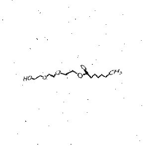 CCCCCCC(=O)OCCOCCOCCO